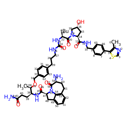 Cc1ncsc1-c1ccc(CNC(=O)[C@@H]2C[C@@H](O)CN2C(=O)[C@@H](NC(=O)NCCCc2ccc(CO[C@H](C)[C@H](CCC(N)=O)NC(=O)[C@@H]3Cc4cccc5c4N3C(=O)[C@@H](N)CC5)cc2)C(C)(C)C)cc1